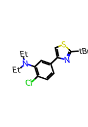 CCN(CC)c1cc(-c2csc(C(C)(C)C)n2)ccc1Cl